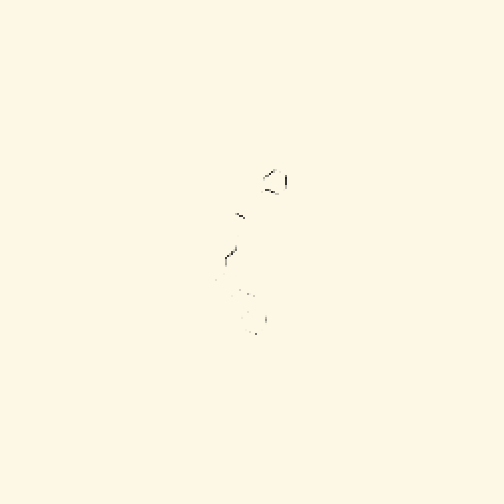 O=C(OC/C=C/C1CCCC([NH+]([O-])C2CCCCC2)C1)OCc1ccccc1